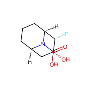 O=C(O)N1[C@@H]2CCC[C@H]1[C@H](F)[C@H](O)C2